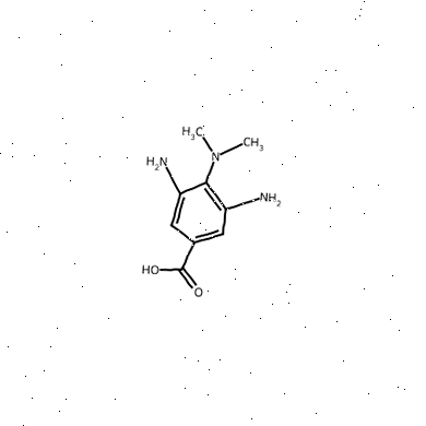 CN(C)c1c(N)cc(C(=O)O)cc1N